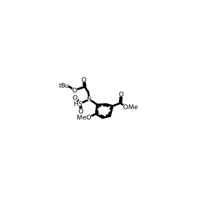 COC(=O)c1ccc(OC)c(N(CC(=O)OC(C)(C)C)[SH](=O)=O)c1